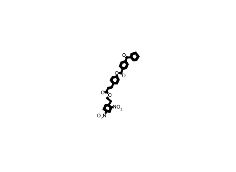 O=C(C=Cc1ccc(OC(=O)c2ccc(C(=O)c3ccccc3)cc2)cc1)OCCc1ccc([N+](=O)[O-])cc1[N+](=O)[O-]